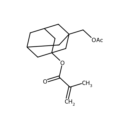 C=C(C)C(=O)OC12CC3CC(CC(COC(C)=O)(C3)C1)C2